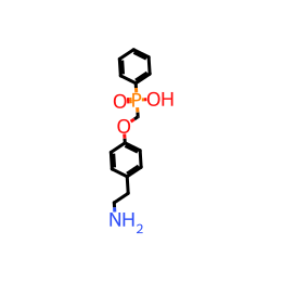 NCCc1ccc(OCP(=O)(O)c2ccccc2)cc1